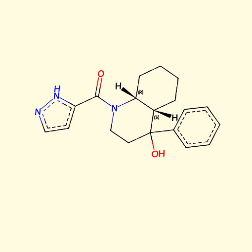 O=C(c1ccn[nH]1)N1CCC(O)(c2ccccc2)[C@H]2CCCC[C@H]21